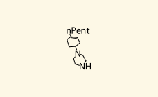 CCCCCC1=CCC(N2CCNCC2)CC1